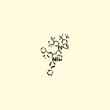 CC1(C)CCC(C)(C)c2cc3c(cc21)-c1c2c(cc4scc(c14)N3c1cc(-c3cc4c(cc3Nc3ccc(-c5ccccc5)cc3)C(C)(C)c3ccccc3-4)c3ccccc3c1)C(C)(C)CCC2(C)C